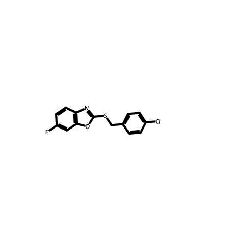 Fc1ccc2nc(SCc3ccc(Cl)cc3)oc2c1